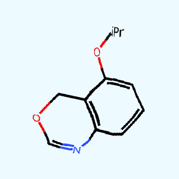 CC(C)Oc1cccc2c1COC=N2